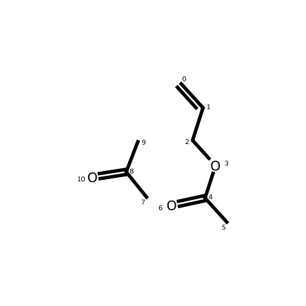 C=CCOC(C)=O.CC(C)=O